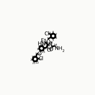 CCC1(OCc2ccccc2Cl)Nc2ccc(OCc3ccccc3Cl)cc2C(Cl)=C1N(C)C(=O)CN